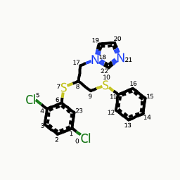 Clc1ccc(Cl)c(SC(CSc2ccccc2)Cn2ccnc2)c1